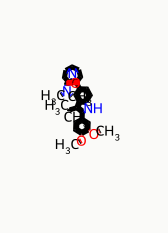 COc1ccc(-c2[nH]c3ccc(C4CCC5CC(C4)N5C(=O)CN(C)C)cc3c2C(C)C)cc1OC